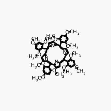 COc1cc(OC)c(C2=C3C=CC(=N3)C(c3c(OC)cc(OC)cc3OC)=C3C=CC(=N3)C(c3c(OC)cc(OC)cc3OC)=C3C=CC(=N3)C(c3c(OC)cc(OC)cc3OC)=C3C=CC2=N3)c(OC)c1